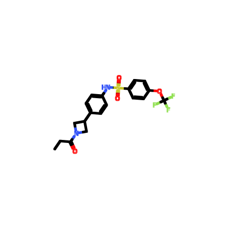 CCC(=O)N1CC(c2ccc(NS(=O)(=O)c3ccc(OC(F)(F)F)cc3)cc2)C1